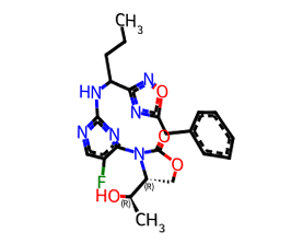 CCCC(Nc1ncc(F)c(N2C(=O)OC[C@@H]2[C@@H](C)O)n1)c1noc(Cc2ccccc2)n1